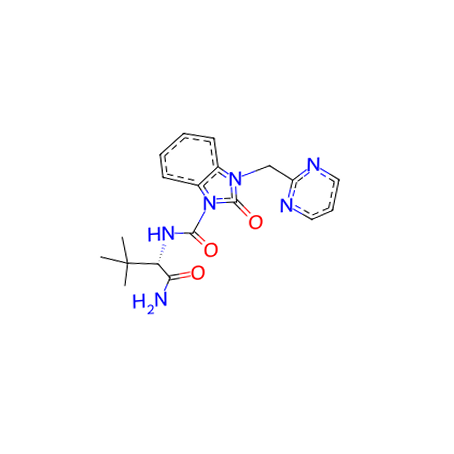 CC(C)(C)[C@H](NC(=O)n1c(=O)n(Cc2ncccn2)c2ccccc21)C(N)=O